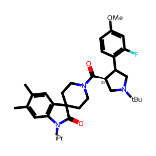 COc1ccc(C2CN(C(C)(C)C)C[C@H]2C(=O)N2CCC3(CC2)C(=O)N(C(C)C)c2cc(C)c(C)cc23)c(F)c1